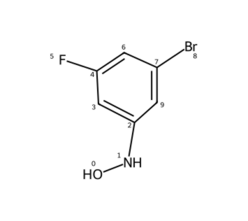 ONc1cc(F)cc(Br)c1